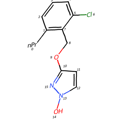 CCCc1cccc(Cl)c1COc1ccn(O)n1